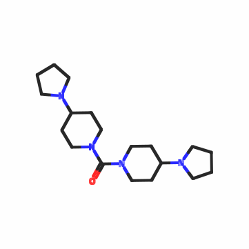 O=C(N1CCC(N2CCCC2)CC1)N1CCC(N2CCCC2)CC1